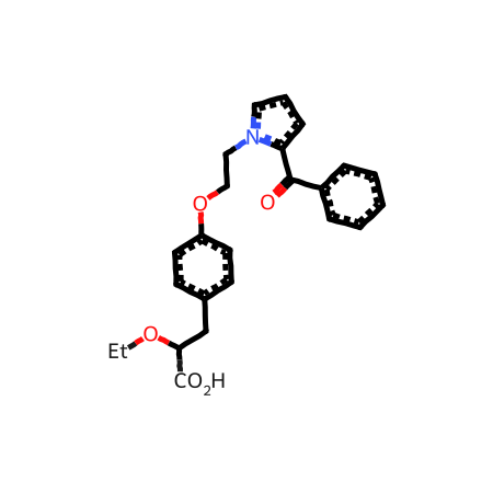 CCOC(Cc1ccc(OCCn2cccc2C(=O)c2ccccc2)cc1)C(=O)O